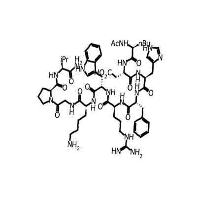 CCCC[C@H](NC(C)=O)C(=O)N[C@@H](CC(=O)O)C(=O)N[C@@H](Cc1c[nH]cn1)C(=O)N[C@H](Cc1ccccc1)C(=O)N[C@@H](CCCNC(=N)N)C(=O)N[C@@H](Cc1c[nH]c2ccccc12)C(=O)N[C@@H](CCCCN)C(=O)NCC(=O)N1CCC[C@H]1C(=O)N[C@H](C(N)=O)C(C)C